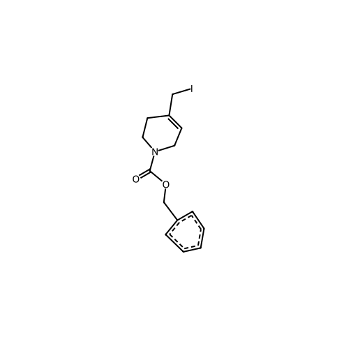 O=C(OCc1ccccc1)N1CC=C(CI)CC1